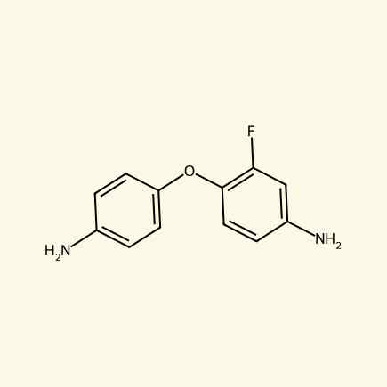 Nc1ccc(Oc2ccc(N)cc2F)cc1